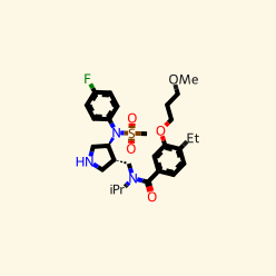 CCc1ccc(C(=O)N(C[C@@H]2CNC[C@H]2N(c2ccc(F)cc2)S(C)(=O)=O)C(C)C)cc1OCCCOC